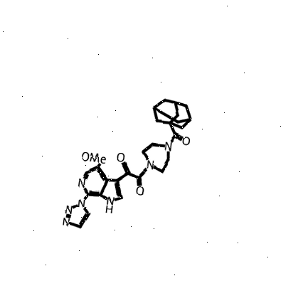 COc1cnc(-n2ccnn2)c2[nH]cc(C(=O)C(=O)N3CCN(C(=O)C45CC6CC(CC(C6)C4)C5)CC3)c12